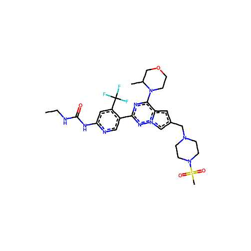 CCNC(=O)Nc1cc(C(F)(F)F)c(-c2nc(N3CCOCC3C)c3cc(CN4CCN(S(C)(=O)=O)CC4)cn3n2)cn1